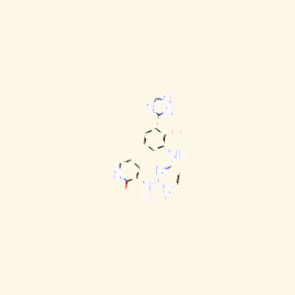 COc1c(NC2=NC(Nc3cccn(C)c3=O)N(C)C=C2)cccc1-c1ncn(C)n1